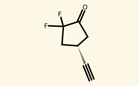 C#C[C@H]1CC(=O)C(F)(F)C1